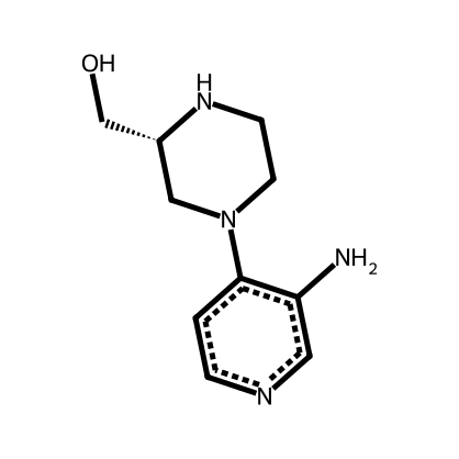 Nc1cnccc1N1CCN[C@@H](CO)C1